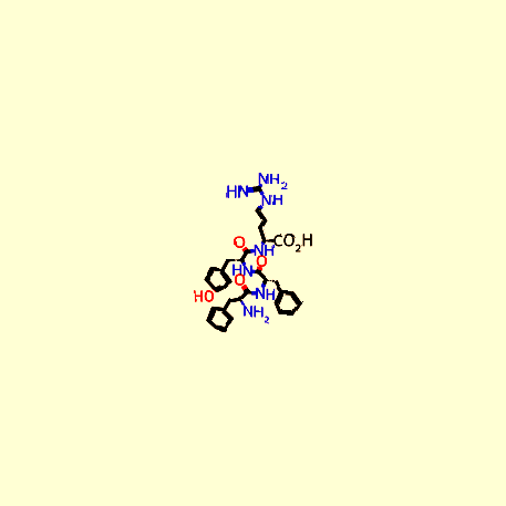 N=C(N)NCCC[C@H](NC(=O)[C@H](Cc1ccc(O)cc1)NC(=O)[C@H](Cc1ccccc1)NC(=O)[C@@H](N)Cc1ccccc1)C(=O)O